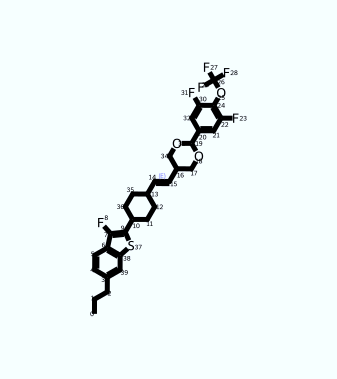 CCCc1ccc2c(F)c(C3CCC(/C=C/C4COC(c5cc(F)c(OC(F)(F)F)c(F)c5)OC4)CC3)sc2c1